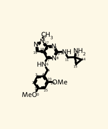 COc1ccc(CNc2nc(NCC3(N)CC3)nc3c2cnn3C)c(OC)c1